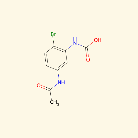 CC(=O)Nc1ccc(Br)c(NC(=O)O)c1